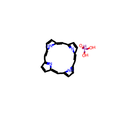 C1=Cc2cc3ccc(cc4nc(cc5ccc(cc1n2)[nH]5)C=C4)[nH]3.O=[PH](O)O